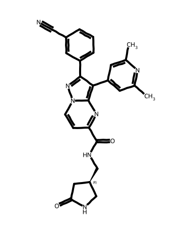 Cc1cc(-c2c(-c3cccc(C#N)c3)nn3ccc(C(=O)NC[C@H]4CNC(=O)C4)nc23)cc(C)n1